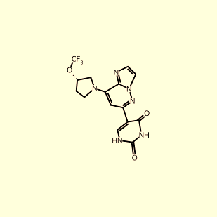 O=c1[nH]cc(-c2cc(N3CC[C@H](OC(F)(F)F)C3)c3nccn3n2)c(=O)[nH]1